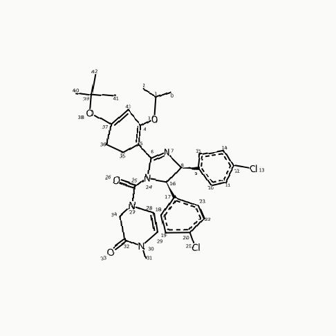 CC(C)OC1=C(C2=N[C@@H](c3ccc(Cl)cc3)[C@@H](c3ccc(Cl)cc3)N2C(=O)N2C=CN(C)C(=O)C2)CCC(OC(C)(C)C)=C1